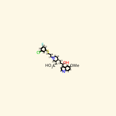 COc1ccc2nccc([C@H](O)CC[C@@H]3CCN(CCCSc4cc(F)cc(Cl)c4)C[C@@H]3CC(=O)O)c2c1